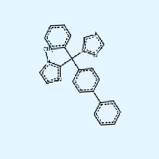 Cn1ccnc1C(c1ccccc1)(c1ccc(-c2ccccc2)cc1)n1cncn1